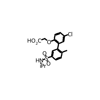 Cc1ccc(S(=O)(=O)NC(C)C)cc1-c1cc(Cl)ccc1OCC(=O)O